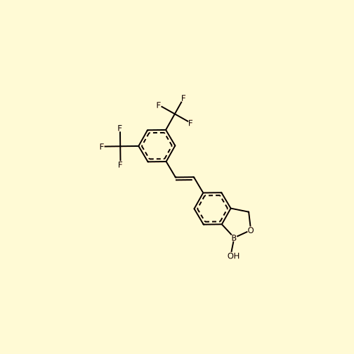 OB1OCc2cc(/C=C/c3cc(C(F)(F)F)cc(C(F)(F)F)c3)ccc21